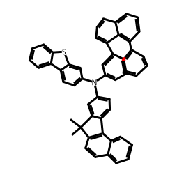 CC1(C)c2cc(N(c3cccc(-c4cccc5cccc(-c6ccccc6)c45)c3)c3ccc4c(c3)sc3ccccc34)ccc2-c2c1ccc1ccccc21